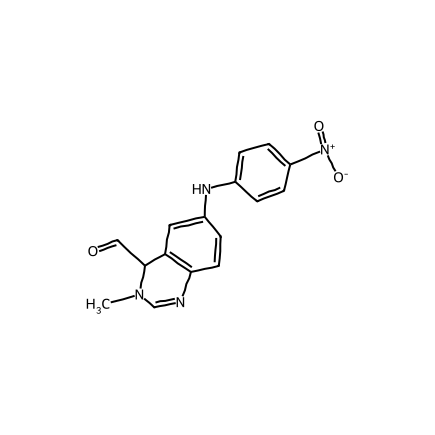 CN1C=Nc2ccc(Nc3ccc([N+](=O)[O-])cc3)cc2C1C=O